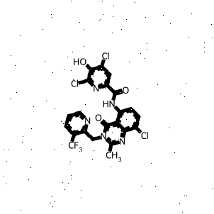 Cc1nc2c(Cl)ccc(NC(=O)c3cc(Cl)c(O)c(Cl)n3)c2c(=O)n1Cc1ncccc1C(F)(F)F